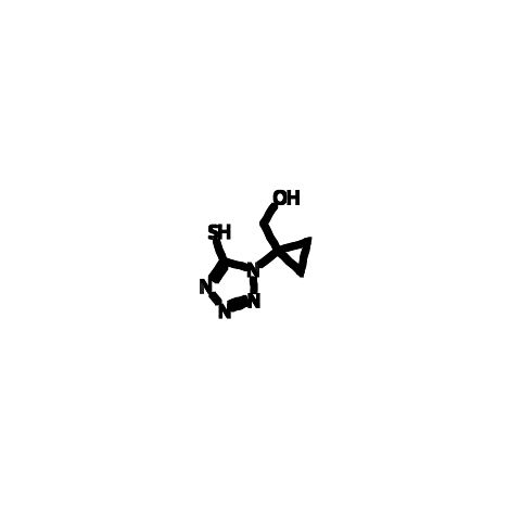 OCC1(n2nnnc2S)CC1